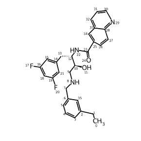 CCc1cccc(CNC[C@H](O)[C@H](Cc2cc(F)cc(F)c2)NC(=O)c2ccc3ncccc3c2)c1